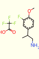 COc1ccc(C(C)CN)cc1F.O=C(O)C(F)(F)F